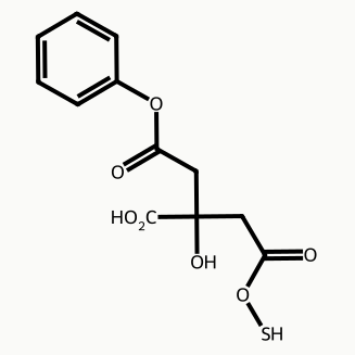 O=C(CC(O)(CC(=O)Oc1ccccc1)C(=O)O)OS